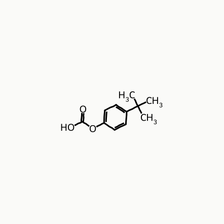 CC(C)(C)c1ccc(OC(=O)O)cc1